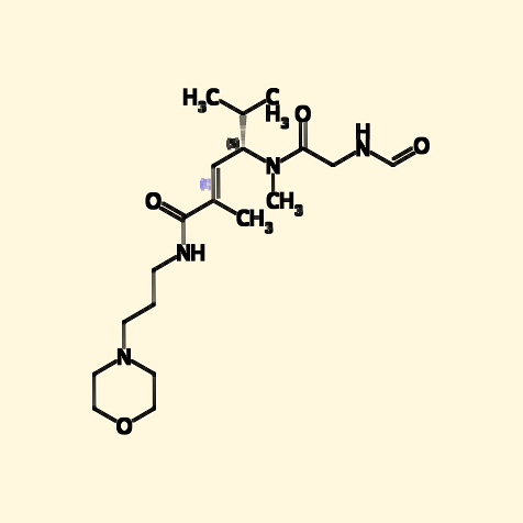 C/C(=C\[C@H](C(C)C)N(C)C(=O)CNC=O)C(=O)NCCCN1CCOCC1